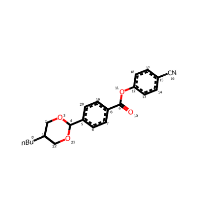 CCCCC1COC(c2ccc(C(=O)Oc3ccc(C#N)cc3)cc2)OC1